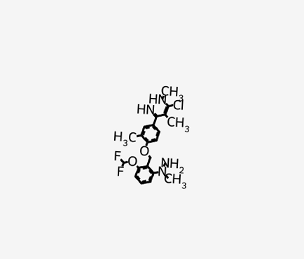 CN/C(Cl)=C(/C)C(=N)c1ccc(OCc2c(OC(F)F)cccc2N(C)N)c(C)c1